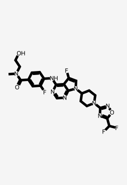 CN(CCO)C(=O)c1ccc(Nc2ncnc3c2c(F)cn3C2CCN(c3noc(C(F)F)n3)CC2)c(F)c1